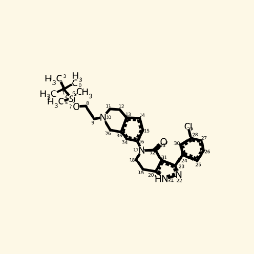 CC(C)(C)[Si](C)(C)OCCN1CCc2ccc(N3CCc4[nH]nc(-c5cccc(Cl)c5)c4C3=O)cc2C1